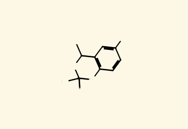 [CH2]C1OC(CC)(CC)Oc2ccc(Cl)cc21